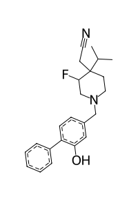 CC(C)C1(CC#N)CCN(Cc2ccc(-c3ccccc3)c(O)c2)CC1F